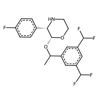 CC(O[C@H]1OCCN[C@H]1c1ccc(F)cc1)c1cc(C(F)F)cc(C(F)F)c1